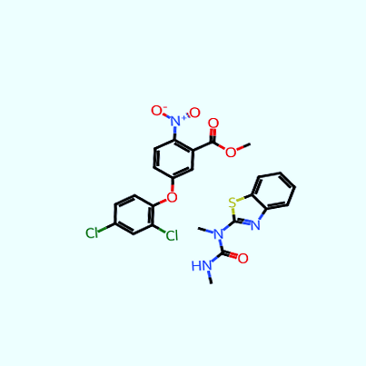 CNC(=O)N(C)c1nc2ccccc2s1.COC(=O)c1cc(Oc2ccc(Cl)cc2Cl)ccc1[N+](=O)[O-]